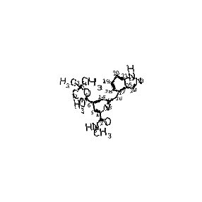 CNC(=O)c1cc(C(=O)OC(C)(C)C)cc(Cc2cccc3[nH]ncc23)n1